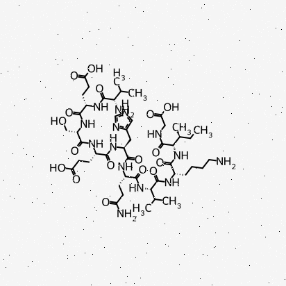 CC[C@H](C)[C@H](NC(=O)[C@H](CCCCN)NC(=O)[C@@H](NC(=O)[C@H](CCC(N)=O)NC(=O)[C@H](Cc1c[nH]cn1)NC(=O)[C@H](CCC(=O)O)NC(=O)[C@H](CO)NC(=O)[C@H](CCC(=O)O)NC(=O)[C@@H](N)C(C)C)C(C)C)C(=O)NCC(=O)O